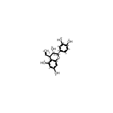 C=CC1c2c(O)cc(O)cc2O[C@H](c2ccc(O)c(O)c2)[C@H]1O